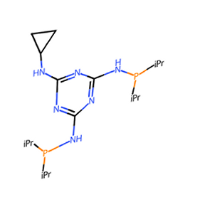 CC(C)P(Nc1nc(NC2CC2)nc(NP(C(C)C)C(C)C)n1)C(C)C